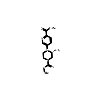 CCCCOC(=O)N1CCN(c2ccc(C(=O)OC)nc2)[C@H](C)C1